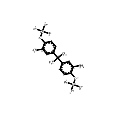 CC(C)[Si](Oc1ccc(C(c2ccc(O[Si](C(C)C)(C(C)C)C(C)C)c(N)c2)(C(F)(F)F)C(F)(F)F)cc1N)(C(C)C)C(C)C